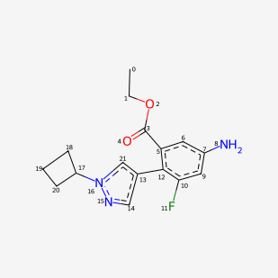 CCOC(=O)c1cc(N)cc(F)c1-c1cnn(C2CCC2)c1